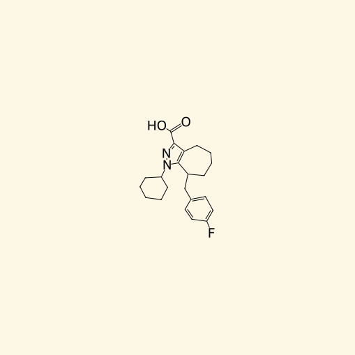 O=C(O)c1nn(C2CCCCC2)c2c1CCCCC2Cc1ccc(F)cc1